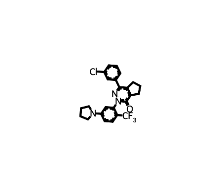 O=c1c2c(c(-c3cccc(Cl)c3)nn1-c1cc(N3CCCC3)ccc1C(F)(F)F)CCC2